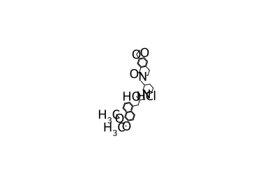 COc1ccc2c(CC(O)CN3CCCC(CN4CCc5cc6c(cc5C4=O)OCO6)C3)cccc2c1OC.Cl